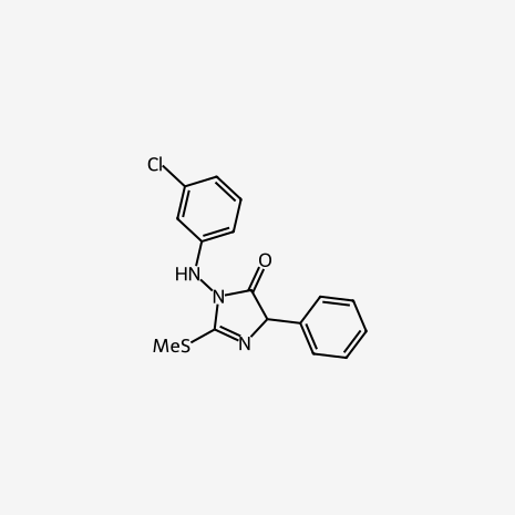 CSC1=NC(c2ccccc2)C(=O)N1Nc1cccc(Cl)c1